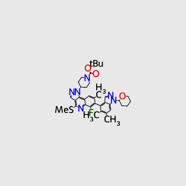 CSc1nc2c(F)c(-c3c(C)c(C)cc4c3cnn4C3CCCCO3)c(C)cc2c2c1cnn2C1CCN(C(=O)OC(C)(C)C)CC1